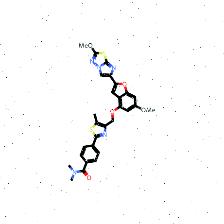 COc1cc(OCc2nc(-c3ccc(C(=O)N(C)C)cc3)sc2C)c2cc(-c3cn4nc(OC)sc4n3)oc2c1